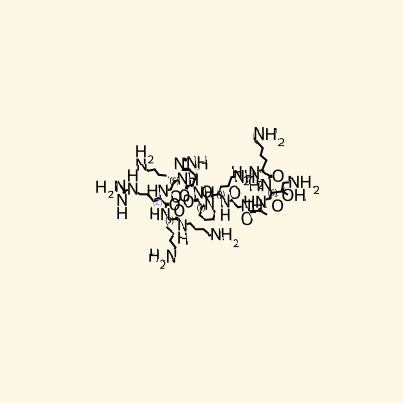 CC(NC(=O)[C@@H](NC(=O)C(N)CCCCN)C(O)CN)C(=O)NCC(=O)N[C@H](CCCN)C(=O)N1CCCC[C@H]1C(=O)NC(Cc1cnc[nH]1)C(=O)N[C@@H](CCCCN)C(=O)N/C(=C\CCNC(=N)N)C(=O)N[C@@H](CCCCN)C(=O)NCCCCN